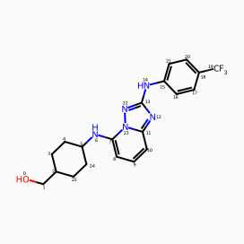 OCC1CCC(Nc2cccc3nc(Nc4ccc(C(F)(F)F)cc4)nn23)CC1